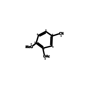 COc1ccc(C#N)cc1OC(C)=O